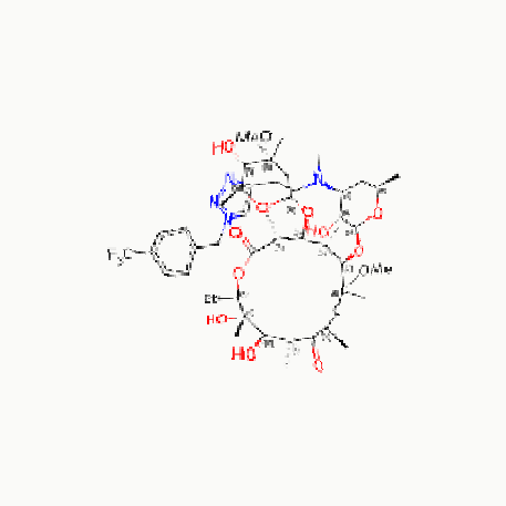 CC[C@H]1OC(=O)[C@H](C)[C@@H](O[C@H]2C[C@@](C)(OC)[C@@H](O)[C@H](C)O2)[C@H](C)[C@@H](O[C@@H]2O[C@H](C)C[C@H](N(C)CCc3cn(Cc4ccc(C(F)(F)F)cc4)nn3)[C@H]2O)[C@](C)(OC)C[C@@H](C)C(=O)[C@H](C)[C@@H](O)[C@]1(C)O